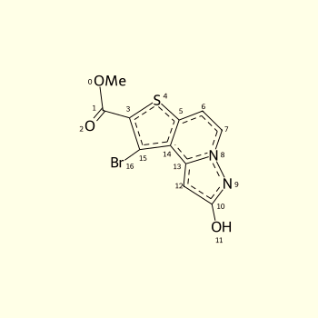 COC(=O)c1sc2ccn3nc(O)cc3c2c1Br